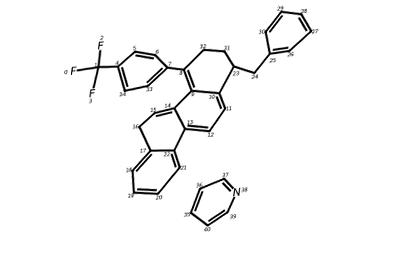 FC(F)(F)c1ccc(C2=c3c(ccc4c3=CCc3ccccc3-4)C(Cc3ccccc3)CC2)cc1.c1ccncc1